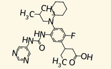 CCC(CC(=O)O)c1cc(NC(=O)Nc2cncnc2)c(N(CC(C)C)C2CCCCC2)cc1F